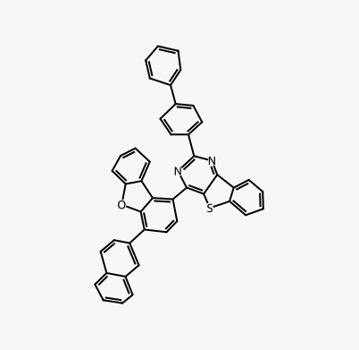 c1ccc(-c2ccc(-c3nc(-c4ccc(-c5ccc6ccccc6c5)c5oc6ccccc6c45)c4sc5ccccc5c4n3)cc2)cc1